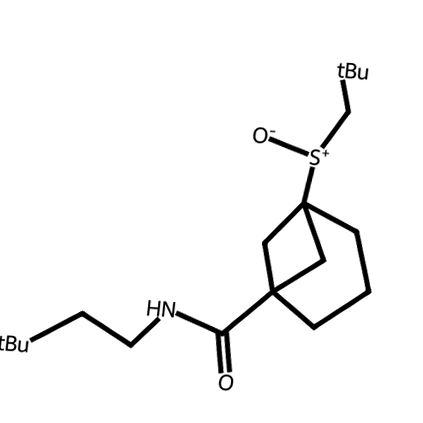 CC(C)(C)CCNC(=O)C12CCCC([S+]([O-])CC(C)(C)C)(C1)C2